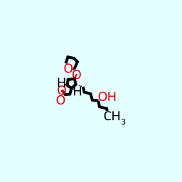 CCCC(O)CCCC[C@@H]1[C@H]2CC(=O)O[C@H]2C[C@H]1OC1CCCCO1